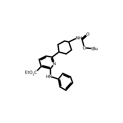 CCOC(=O)c1ccc(C2CCC(NC(=O)OC(C)(C)C)CC2)nc1Nc1ccccc1